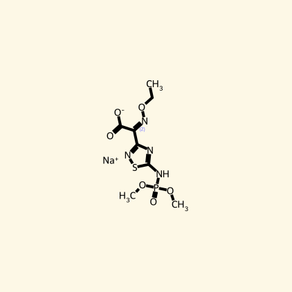 CCO/N=C(\C(=O)[O-])c1nsc(NP(=O)(OC)OC)n1.[Na+]